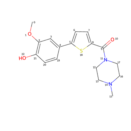 COc1cc(-c2ccc(C(=O)N3CCN(C)CC3)s2)ccc1O